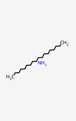 N.[CH2]CCCCCCCCCCCCCCCCC